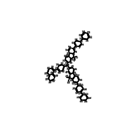 CC1(C)c2cc(-c3ccc(-c4ccccc4)cc3)ccc2-c2ccc(N(c3ccc(-c4cccc5ccccc45)cc3)c3ccc4c(c3)C(C)(C)c3cc(C5C=CC(c6ccccc6)=CC5)ccc3-4)cc21